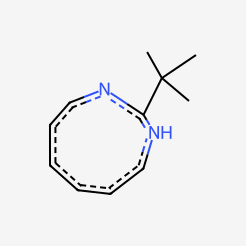 CC(C)(C)c1ncccccc[nH]1